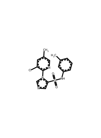 Cc1cccc(NS(=O)(=O)c2cncn2-c2ncc(C)cc2Cl)c1